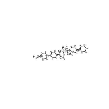 CN1CCN(c2ccc(C(C)(C)CCC(C)(C)N3CCC(N4CCCCC4)CC3)cc2)CC1